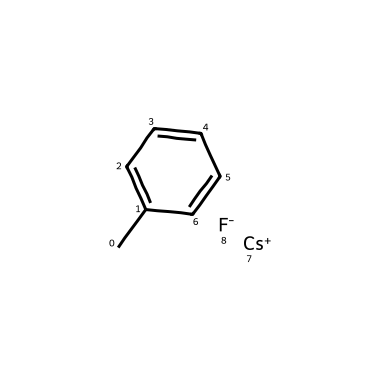 Cc1ccccc1.[Cs+].[F-]